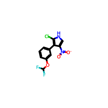 O=[N+]([O-])c1c[nH]c(Cl)c1-c1cccc(OC(F)F)c1